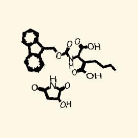 CCCCC(C(=O)O)C(NC(=O)OCC1c2ccccc2-c2ccccc21)C(=O)O.O=C1CC(O)C(=O)N1